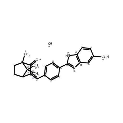 CC12CCC(/C(=C/c3ccc(-c4nc5cc(S(=O)(=O)O)ccc5[nH]4)cc3)C1=O)C2(C)C.[KH]